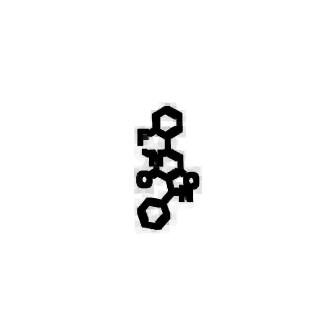 Cn1c(-c2ccccc2F)cc2onc(-c3ccccc3)c2c1=O